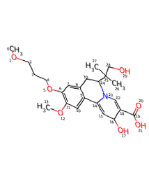 COCCCOc1cc2c(cc1OC)C1=CC(O)C(C(=O)O)=CN1C(C(C)(C)CO)C2